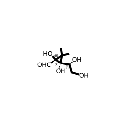 CC1(C)[C@](O)(C=O)[C@]1(O)[C@H](O)CO